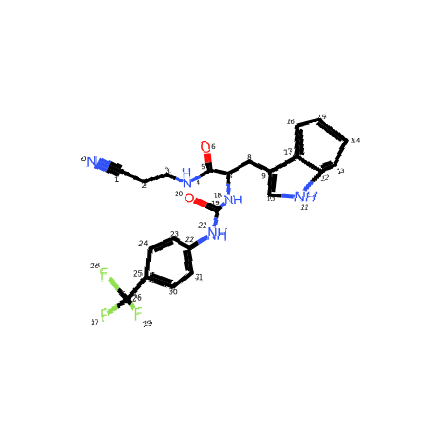 N#CCCNC(=O)C(Cc1c[nH]c2ccccc12)NC(=O)Nc1ccc(C(F)(F)F)cc1